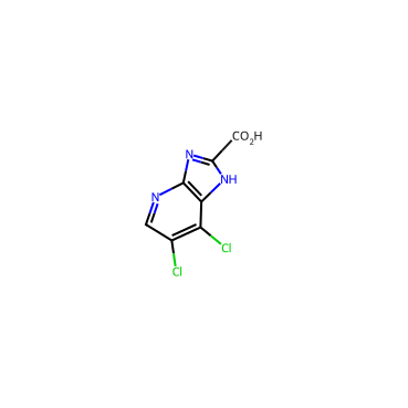 O=C(O)c1nc2ncc(Cl)c(Cl)c2[nH]1